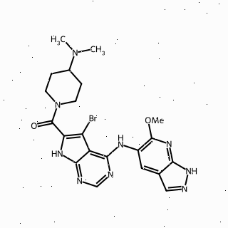 COc1nc2[nH]ncc2cc1Nc1ncnc2[nH]c(C(=O)N3CCC(N(C)C)CC3)c(Br)c12